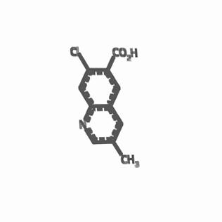 Cc1cnc2cc(Cl)c(C(=O)O)cc2c1